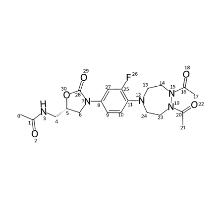 CC(=O)NC[C@H]1CN(c2ccc(N3CCN(C(C)=O)N(C(C)=O)CC3)c(F)c2)C(=O)O1